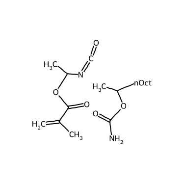 C=C(C)C(=O)OC(C)N=C=O.CCCCCCCCC(C)OC(N)=O